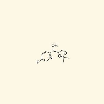 CC1(C)OC[C@H](C(O)c2ccc(F)cn2)O1